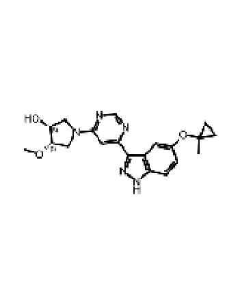 CO[C@H]1CN(c2cc(-c3n[nH]c4ccc(OC5(C)CC5)cc34)ncn2)C[C@@H]1O